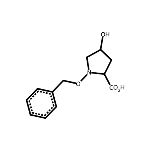 O=C(O)C1CC(O)CN1OCc1ccccc1